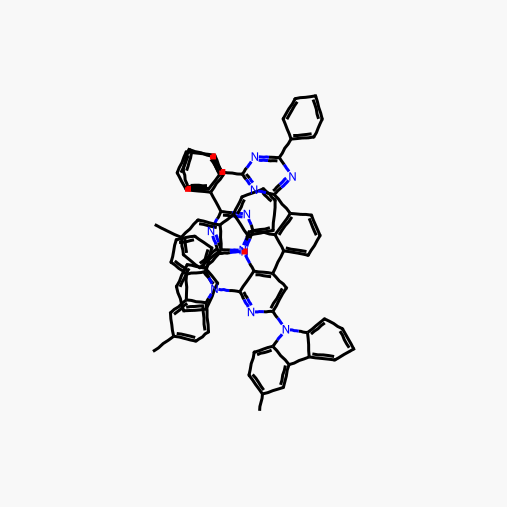 Cc1ccc2c(c1)c1ccccc1n2-c1cc(-c2cccc(-c3nc(-c4ccccc4)nc(-c4ccccc4)n3)c2-c2nc(-c3ccccc3)nc(-c3ccccc3)n2)c(-n2c3ccccc3c3cc(C)ccc32)c(-n2c3ccccc3c3cc(C)ccc32)n1